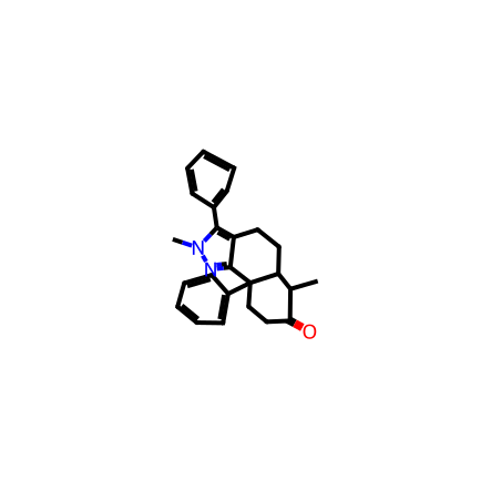 CC1C(=O)CCC2(c3ccccc3)c3nn(C)c(-c4ccccc4)c3CCC12